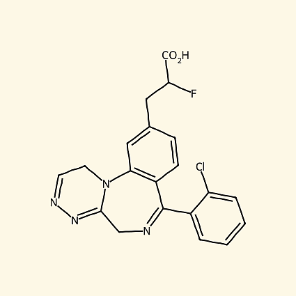 O=C(O)C(F)Cc1ccc2c(c1)N1CC=NN=C1CN=C2c1ccccc1Cl